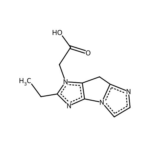 CCc1nc2c(n1CC(=O)O)Cc1nccn1-2